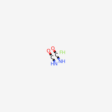 F.N=C=O.N=C=O